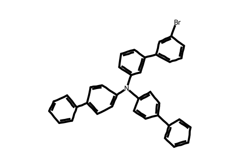 Brc1cccc(-c2cccc(N(c3ccc(-c4ccccc4)cc3)c3ccc(-c4ccccc4)cc3)c2)c1